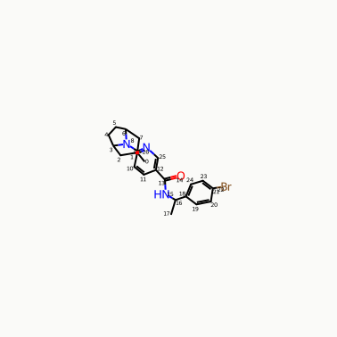 CC1CC2CCC(C1)N2c1ccc(C(=O)NC(C)c2ccc(Br)cc2)cn1